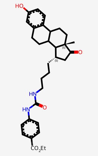 CCOC(=O)c1ccc(NC(=O)NCCCC[C@H]2CC(=O)[C@@]3(C)CCC4c5ccc(O)cc5CCC4C23)cc1